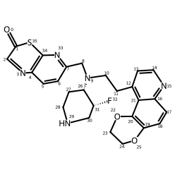 O=c1cnc2ccc(CN(CCc3ccnc4ccc5c(c34)OCCO5)[C@H]3CCNC[C@H]3F)nc2s1